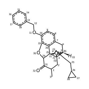 CC1C[C@@]2(O)[C@H]3Cc4ccc(OCc5ccccc5)c5c4[C@@]2(CCN3CC2CC2)C(O5)C1=O